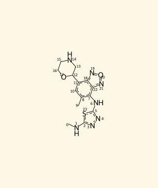 CNc1nnc(Nc2c(C)cc(C3CNCCO3)c3nonc23)s1